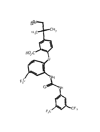 CC(C)(C)CC(C)(C)c1ccc(Oc2ccc(C(F)(F)F)cc2NC(=O)Nc2cc(C(F)(F)F)cc(C(F)(F)F)c2)c(C(=O)O)c1